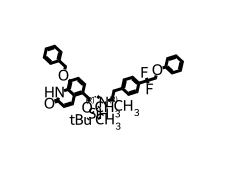 C[C@H](Cc1ccc(C(F)(F)COc2ccccc2)cc1)NC[C@H](O[Si](C)(C)C(C)(C)C)c1ccc(OCc2ccccc2)c2[nH]c(=O)ccc12